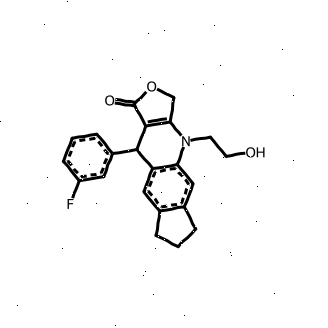 O=C1OCC2=C1C(c1cccc(F)c1)c1cc3c(cc1N2CCO)CCC3